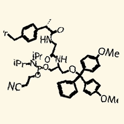 COc1ccc(C(OCC(COP(OCCC#N)N(C(C)C)C(C)C)NC(=O)CNC(=O)[C@@H](C)c2ccc(CC(C)C)cc2)(c2ccccc2)c2ccc(OC)cc2)cc1